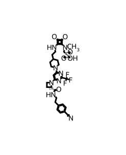 CN(CS(=O)(=O)O)c1c(NCCC2CCN(c3cc(N4CC[C@H]4C(=O)NCCc4ccc(C#N)cc4)nc(C(F)(F)F)n3)CC2)c(=O)c1=O